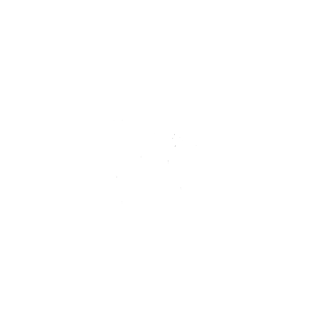 O=C(O)CC1(C[AsH2])CCCCC1